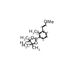 COC=Cc1cccc(B2OC(C)(C)C(C)(C)O2)c1C